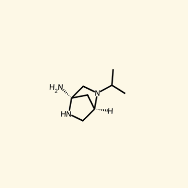 CC(C)N1C[C@@]2(N)C[C@@H]1CN2